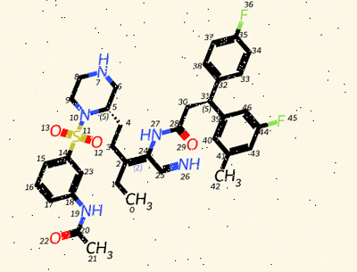 CC/C(CC[C@H]1CNCCN1S(=O)(=O)c1cccc(NC(C)=O)c1)=C(\C=N)NC(=O)C[C@@H](c1ccc(F)cc1)c1cc(C)cc(F)c1